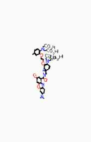 Cc1ccc(N(CC(=O)O)CC(=O)O)c(OCCOc2cc(CNC(=O)c3cc(=O)cc4oc5cc(N(C)C)ccc5nc3-4)ccc2N(CC(=O)O)CC(=O)O)c1